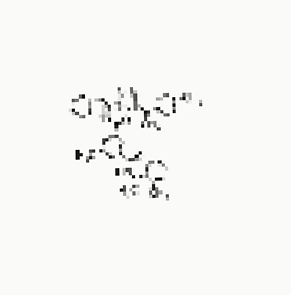 Cc1ccc([C@@H](C)NC[C@@H](O)[C@H](Cc2ccccc2)NC(=O)c2cc(C)cc(C(=O)NC(C)c3ccccc3C)c2)cc1